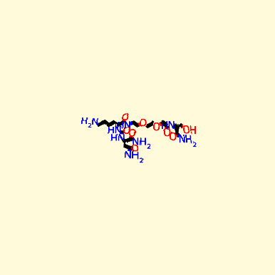 NCCCC[C@H](NC(=O)N[C@H](CC(N)=O)C(N)=O)C(=O)NCCOCCOCC(=O)N[C@@H](CO)C(N)=O